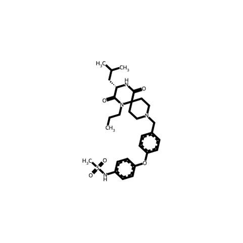 CCCN1C(=O)[C@H](CC(C)C)NC(=O)C12CCN(Cc1ccc(Oc3ccc(NS(C)(=O)=O)cc3)cc1)CC2